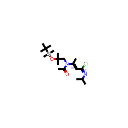 CC(=O)N(CC(C)(C)O[Si](C)(C)C(C)(C)C)/C(C)=C/C(Cl)=N\C(C)C